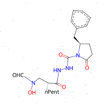 CCCCC[C@H](CN(O)C=O)C(=O)NNC(=O)N1C(=O)CC[C@@H]1Cc1ccccc1